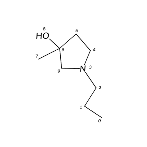 CCCN1CCC(C)(O)C1